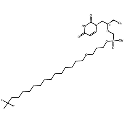 CC(F)(F)CCCCCCCCCCCCCCOCCCOP(=O)(O)CO[C@H](CO)Cn1ccc(=O)[nH]c1=O